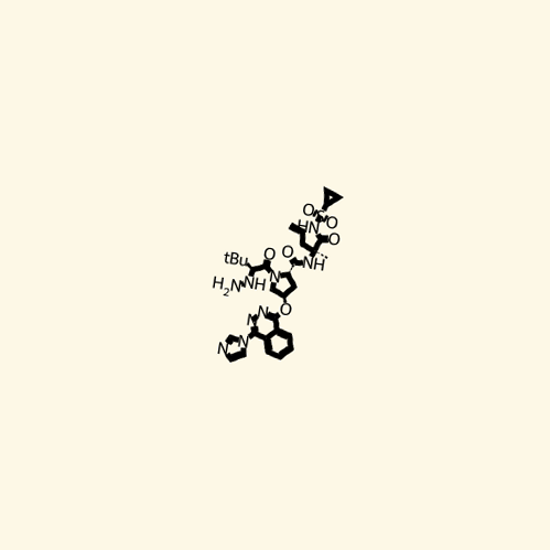 C=CC[C@](C)(NC(=O)[C@@H]1C[C@@H](Oc2nnc(-n3ccnc3)c3ccccc23)CN1C(=O)[C@@H](NN)C(C)(C)C)C(=O)NS(=O)(=O)C1CC1